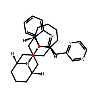 c1ccc2c(c1)nc(Cc1cnccn1)n2[C@@H]1C[C@H]2CCC[C@@H](C1)N2[C@H]1C[C@@H]2CCCC[C@@H](C2)C1